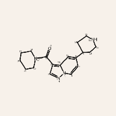 O=C(c1cnn2ccc(C3CCNCC3)cc12)N1CCCCC1